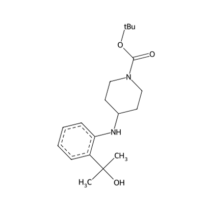 CC(C)(C)OC(=O)N1CCC(Nc2ccccc2C(C)(C)O)CC1